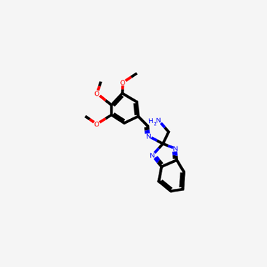 COc1cc(C=NC2(CN)N=c3ccccc3=N2)cc(OC)c1OC